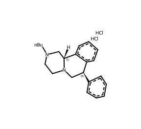 CCCCN1CCN2C[C@H](c3ccccc3)c3ccccc3[C@H]2C1.Cl.Cl